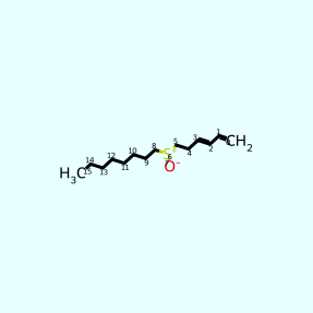 C=C/C=C/CC[S+]([O-])CCCCCCCC